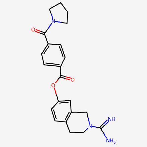 N=C(N)N1CCc2ccc(OC(=O)c3ccc(C(=O)N4CCCC4)cc3)cc2C1